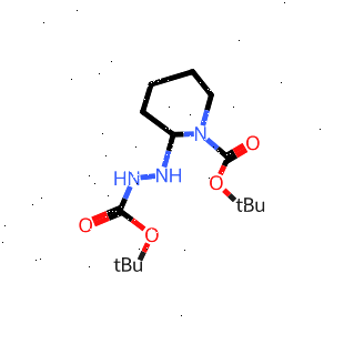 CC(C)(C)OC(=O)NNC1CCCCN1C(=O)OC(C)(C)C